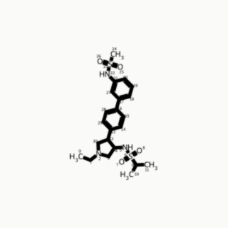 CCN1CC(NS(=O)(=O)C(C)C)C(c2ccc(-c3cccc(NS(C)(=O)=O)c3)cc2)C1